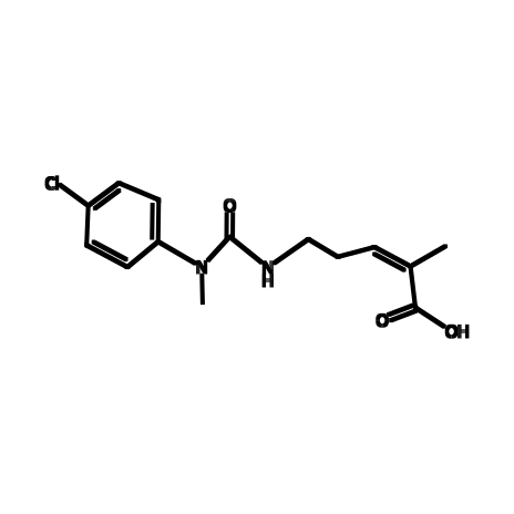 CC(=CCCNC(=O)N(C)c1ccc(Cl)cc1)C(=O)O